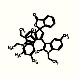 CCN(CC)c1ccc(C2(C=C(c3c(C)n(CC)c4ccc(C)cc34)c3c(C)n(CC)c4ccc(C)cc34)OC(=O)c3ccccc32)cc1